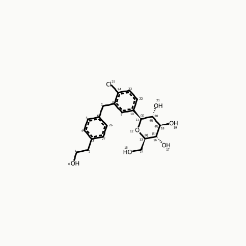 OCCc1ccc(Cc2cc([C@@H]3O[C@H](CO)[C@@H](O)[C@H](O)[C@H]3O)ccc2Cl)cc1